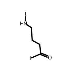 O=C(I)CCCNI